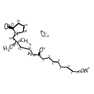 CCCCCCCCCCCCCCCCCC(=O)NCC[N+](C)(C)CN1CCCC1=O.[Cl-]